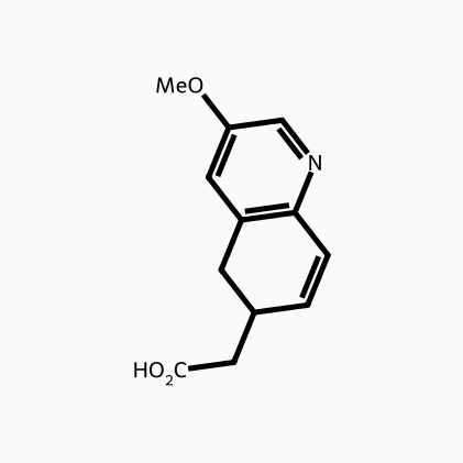 COc1cnc2c(c1)CC(CC(=O)O)C=C2